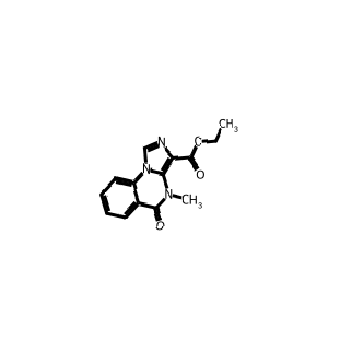 CCOC(=O)c1ncn2c3ccccc3c(=O)n(C)c12